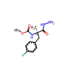 CC(C)(C)OC(=O)N[C@](C)(Cc1ccc(F)cc1)C(=O)NN